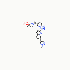 C[C@H](c1ccc2nnc(-c3ccc4ccc(-c5cnn(C)c5)cc4n3)n2c1)N1CCC(C)(O)C1